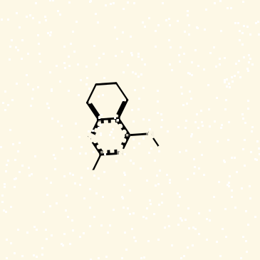 CNc1nc(Cl)nc2c1=CCCC=2